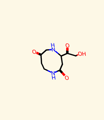 O=C1CCNC(=O)CC(C(=O)CO)NC1